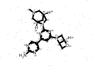 CN1C[C@H]2C[C@@H](C1)N(c1nc(-c3cnc(N)nc3)cc(N3C[C@H]4OCC43)n1)C2